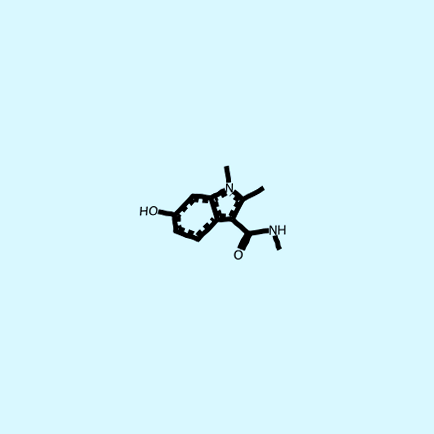 CNC(=O)c1c(C)n(C)c2cc(O)ccc12